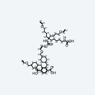 C=COCC1CCC(Cc2c(C(=O)O)ccc(C(=O)O)c2CC2CCC(COC=C)CC2)CC1.C=COCCCCC(CCCCCNC(=O)O)(CCCCOC=C)NC(=O)O